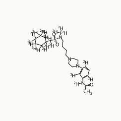 [2H]c1cc([2H])c(N([2H])C(C)=O)c([2H])c1N1CCN(CCCCN(C([2H])([2H])[2H])S(=O)(=O)C([2H])([2H])C2([2H])C([2H])([2H])C([2H])([2H])C([2H])([2H])C([2H])([2H])C2([2H])[2H])CC1